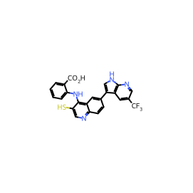 O=C(O)c1ccccc1Nc1c(S)cnc2ccc(-c3c[nH]c4ncc(C(F)(F)F)cc34)cc12